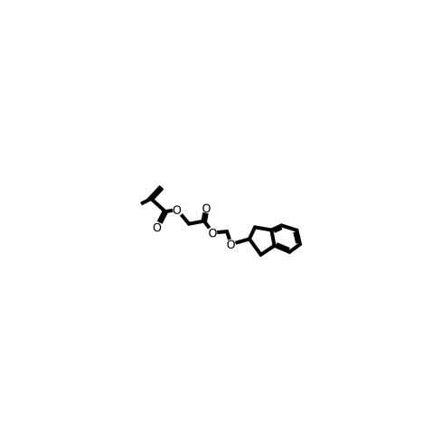 C=C(C)C(=O)OCC(=O)OCOC1Cc2ccccc2C1